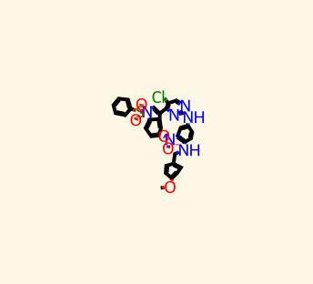 COc1ccc(CNc2ccc(Nc3ncc(Cl)c(-c4cn(S(=O)(=O)c5ccccc5)c5ccccc45)n3)cc2[N+](=O)[O-])cc1